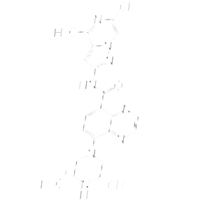 Cc1cn2nc(NC(=O)c3ccc(N4C[C@@H](C)N[C@@H](C)C4)c4nccnc34)cc2c(C)n1